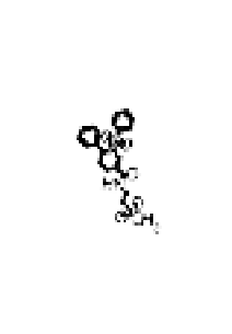 CS(=O)(=O)CCNC(=O)C1CCC(c2ccccc2)N(S(=O)(=O)c2ccccc2)C1